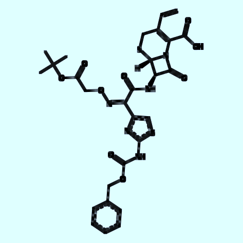 C=CC1=C(C(=O)O)N2C(=O)[C@@H](NC(=O)/C(=N\OCC(=O)OC(C)(C)C)c3csc(NC(=O)OCc4ccccc4)n3)[C@@H]2SC1